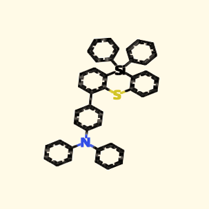 c1ccc(N(c2ccccc2)c2ccc(-c3cccc4c3Sc3ccccc3[Si]4(c3ccccc3)c3ccccc3)cc2)cc1